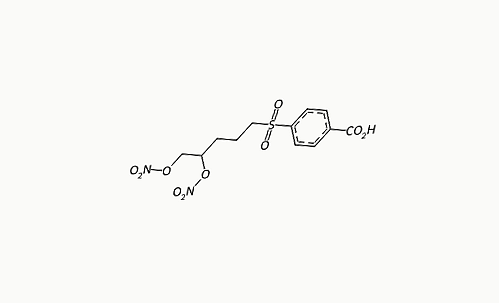 O=C(O)c1ccc(S(=O)(=O)CCCC(CO[N+](=O)[O-])O[N+](=O)[O-])cc1